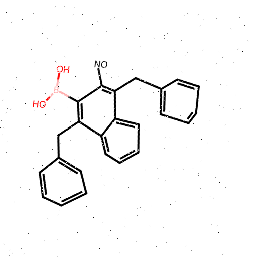 O=Nc1c(B(O)O)c(Cc2ccccc2)c2ccccc2c1Cc1ccccc1